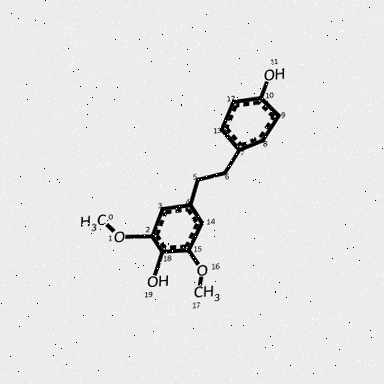 COc1cc(CCc2ccc(O)cc2)cc(OC)c1O